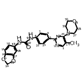 Cc1cnc(-c2ccc(NC(=O)Nc3ccc4c(c3)OCO4)cc2)nc1N1CCOCC1